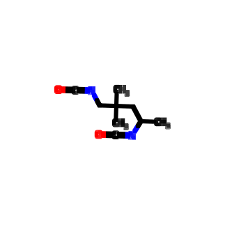 CC(CC(C)(C)CN=C=O)N=C=O